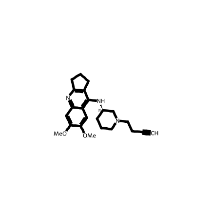 C#CCCN1CCC[C@H](Nc2c3c(nc4cc(OC)c(OC)cc24)CCC3)C1